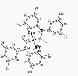 CCC(C(C)C)(C(C)P(c1cc(C)cc(C)c1)c1cc(C)cc(C)c1)C(C)P(c1cc(C)cc(C)c1)c1cc(C)cc(C)c1